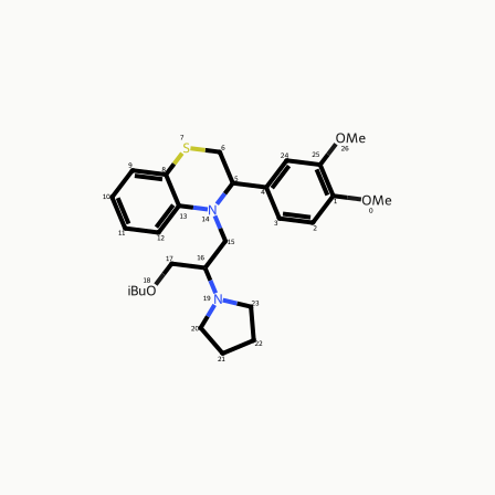 COc1ccc(C2CSc3ccccc3N2CC(COCC(C)C)N2CCCC2)cc1OC